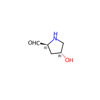 O=C[C@@H]1C[C@@H](O)CN1